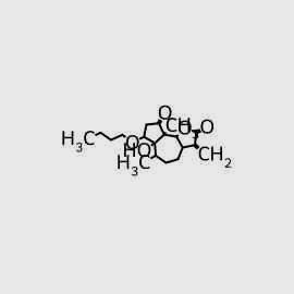 C=C1C(=O)OC2C1CCC(C)C1(O)C(OCCCC)CC(=O)C21C